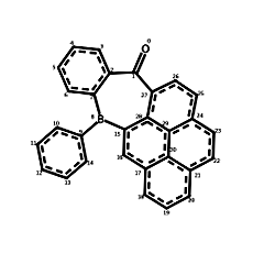 O=C1c2ccccc2B(c2ccccc2)c2cc3cccc4ccc5ccc1c2c5c43